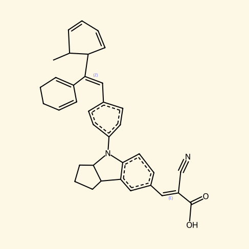 CC1C=CC=CC1/C(=C/c1ccc(N2c3ccc(/C=C(\C#N)C(=O)O)cc3C3CCCC32)cc1)C1=CCCC=C1